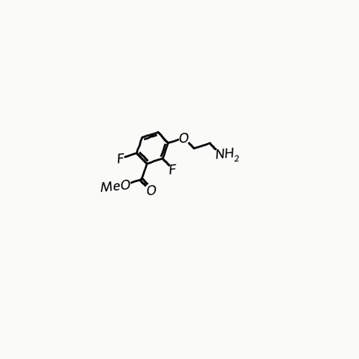 COC(=O)c1c(F)ccc(OCCN)c1F